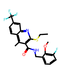 CCSc1nc2cc(C(F)(F)F)ccc2c(C)c1C(=O)NCc1cccc(F)c1OC